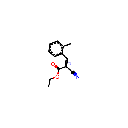 CCOC(=O)/C(C#N)=C\c1ccccc1C